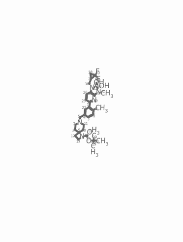 Cc1ccc(CN2CCC3(CC2)CCN3C(=O)OC(C)(C)C)cc1-c1ccc2c(n1)N(C)S(O)(O)N2CC1CC1(F)F